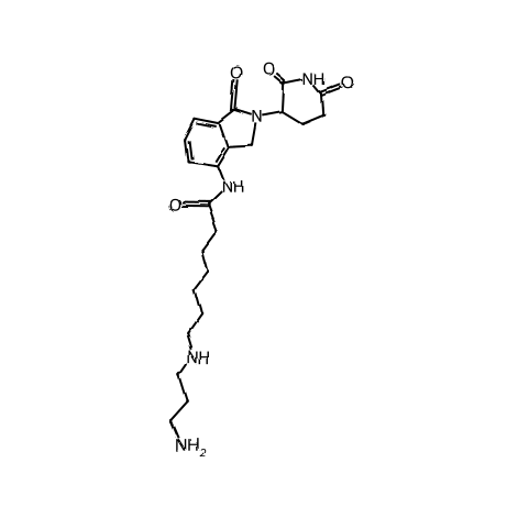 NCCCNCCCCCCC(=O)Nc1cccc2c1CN(C1CCC(=O)NC1=O)C2=O